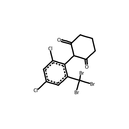 O=C1CCCC(=O)C1c1c(Cl)cc(Cl)cc1C(Br)(Br)Br